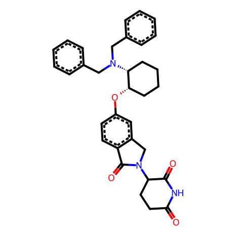 O=C1CCC(N2Cc3cc(O[C@H]4CCCC[C@H]4N(Cc4ccccc4)Cc4ccccc4)ccc3C2=O)C(=O)N1